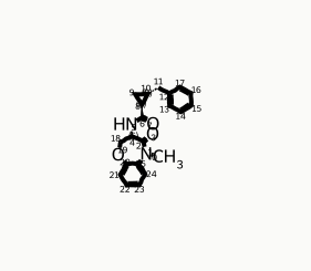 CN1C(=O)[C@@H](NC(=O)[C@H]2C[C@@H]2Cc2ccccc2)COc2ccccc21